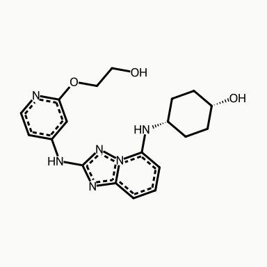 OCCOc1cc(Nc2nc3cccc(N[C@H]4CC[C@@H](O)CC4)n3n2)ccn1